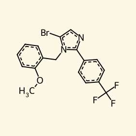 COc1ccccc1Cn1c(Br)cnc1-c1ccc(C(F)(F)F)cc1